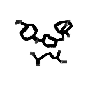 O=C(O)/C=C/C(=O)O.Oc1ccc(Oc2ccc(O[C@H]3CN4CCC3CC4)cc2)cc1